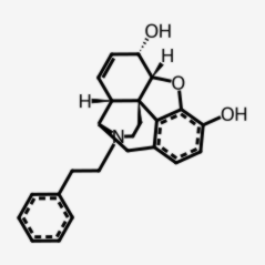 Oc1ccc2c3c1O[C@H]1[C@@H](O)C=C[C@H]4C(C2)N(CCc2ccccc2)CC[C@@]341